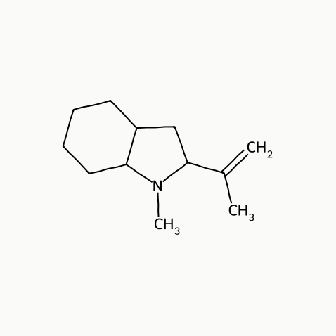 C=C(C)C1CC2CCCCC2N1C